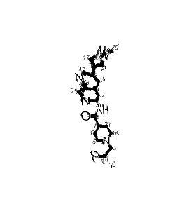 C[C@H](F)CN1CCC(C(=O)Nc2cc3cc(-c4cnn(C)c4)cnc3cn2)CC1